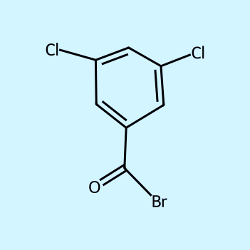 O=C(Br)c1cc(Cl)cc(Cl)c1